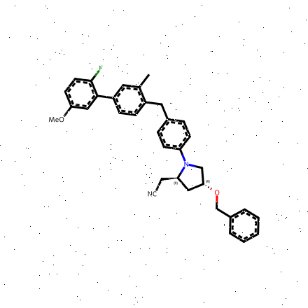 COc1ccc(F)c(-c2ccc(Cc3ccc(N4C[C@H](OCc5ccccc5)C[C@H]4CC#N)cc3)c(C)c2)c1